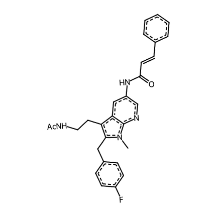 CC(=O)NCCc1c(Cc2ccc(F)cc2)n(C)c2ncc(NC(=O)/C=C/c3ccccc3)cc12